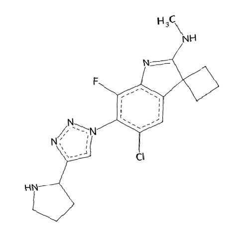 CNC1=Nc2c(cc(Cl)c(-n3cc(C4CCCN4)nn3)c2F)C12CCC2